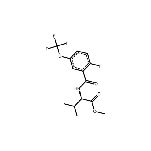 COC(=O)[C@H](NC(=O)c1cc(OC(F)(F)F)ccc1F)C(C)C